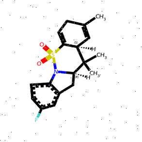 CC1=C[C@@H]2C(=CC1)S(=O)(=O)N1c3ccc(F)cc3C[C@@H]1C2(C)C